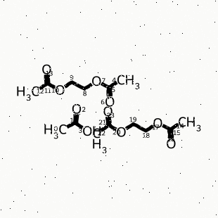 CC(=O)O.CC(=O)OCCOC(C)=O.CC(=O)OCCOC(C)=O